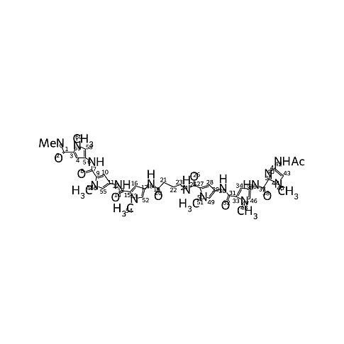 CNC(=O)c1cc(NC(=O)c2cc(NC(=O)c3cc(NC(=O)CCCNC(=O)c4cc(NC(=O)c5cc(NC(=O)c6nc(NC(C)=O)cn6C)cn5C)cn4C)cn3C)cn2C)cn1C